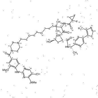 CNc1nc(Nc2ccc(C(=O)N3CCN(CCOCCOCCSC(C)(C)C(NC(=O)C4(F)CC4)C(=O)N4C[C@H](O)C[C@H]4C(=O)N[C@@H](C)c4ccc(-c5scnc5C)cc4)CC3)cc2OC)ncc1Cl